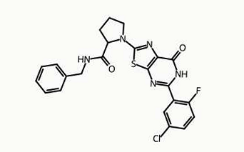 O=C(NCc1ccccc1)C1CCCN1c1nc2c(=O)[nH]c(-c3cc(Cl)ccc3F)nc2s1